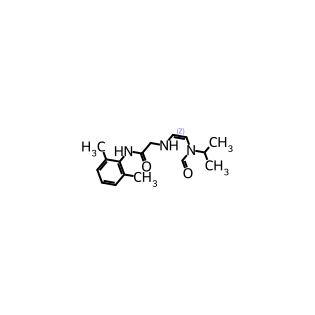 Cc1cccc(C)c1NC(=O)CN/C=C\N(C=O)C(C)C